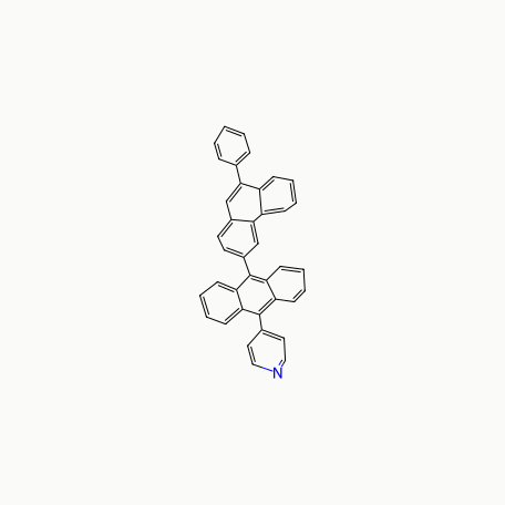 c1ccc(-c2cc3ccc(-c4c5ccccc5c(-c5ccncc5)c5ccccc45)cc3c3ccccc23)cc1